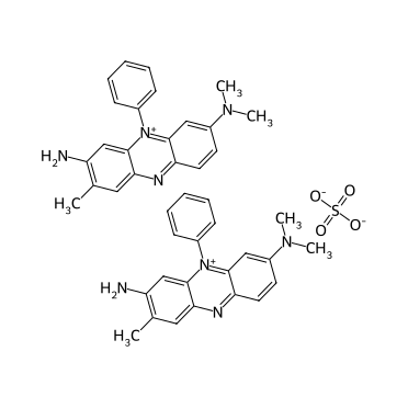 Cc1cc2nc3ccc(N(C)C)cc3[n+](-c3ccccc3)c2cc1N.Cc1cc2nc3ccc(N(C)C)cc3[n+](-c3ccccc3)c2cc1N.O=S(=O)([O-])[O-]